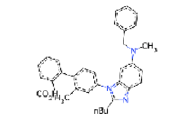 CCCCc1nc2ccc(N(C)Cc3ccccc3)cc2n1-c1ccc(-c2ccccc2C(=O)O)c(C)c1